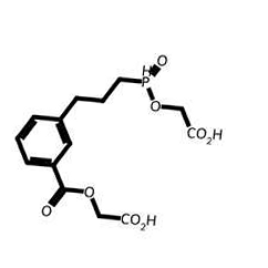 O=C(O)COC(=O)c1cccc(CCC[PH](=O)OCC(=O)O)c1